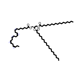 CC/C=C\C/C=C\C/C=C\C/C=C\C/C=C\CCCCCC(=O)OC[C@@H](COC(=O)CCCCCCCCCCCCCCCCC)OC(=O)CCCCCCCCCCCCCCCCCCC